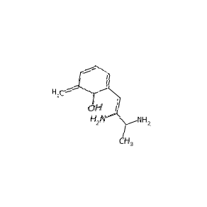 C=C1C=CC=C(C=C(N)C(C)N)C1O